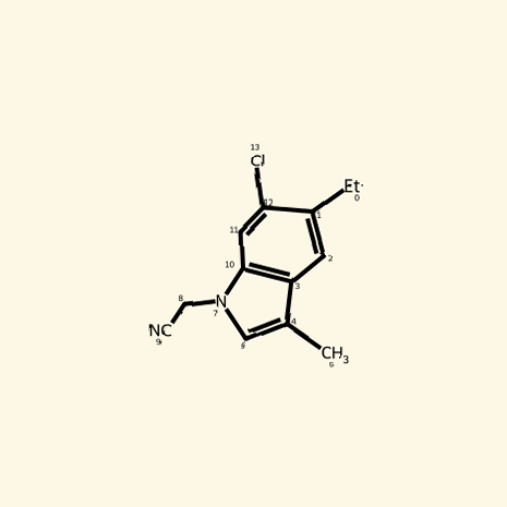 C[CH]c1cc2c(C)cn(CC#N)c2cc1Cl